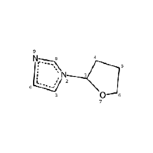 c1cn(C2CCCO2)cn1